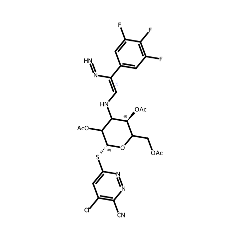 CC(=O)OCC1O[C@H](Sc2cc(Cl)c(C#N)nn2)C(OC(C)=O)C(N/C=C(\N=N)c2cc(F)c(F)c(F)c2)[C@H]1OC(C)=O